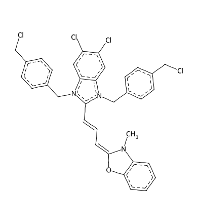 CN1C(=CC=Cc2n(Cc3ccc(CCl)cc3)c3cc(Cl)c(Cl)cc3[n+]2Cc2ccc(CCl)cc2)Oc2ccccc21